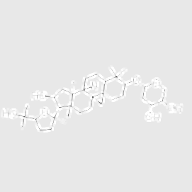 CC(C)(O)C1CC[C@](C)([C@H]2[C@@H](O)C[C@@]3(C)[C@@H]4CCC5C(C)(C)[C@@H](O[C@H]6C[C@@H](O)[C@H](O)CO6)CC[C@@]56C[C@@]46CC[C@]23C)O1